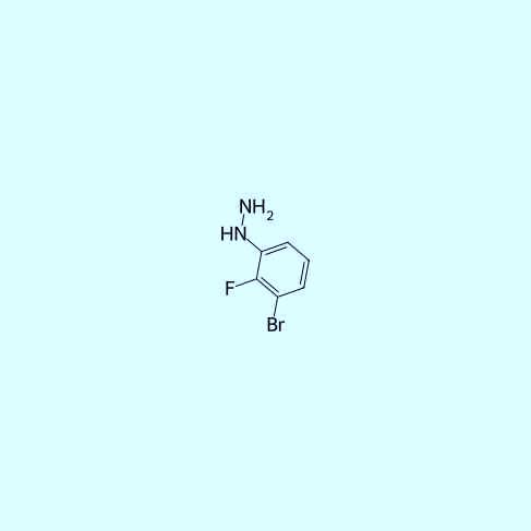 NNc1cccc(Br)c1F